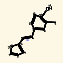 Cc1cc(/C=C/c2cccs2)ccc1O